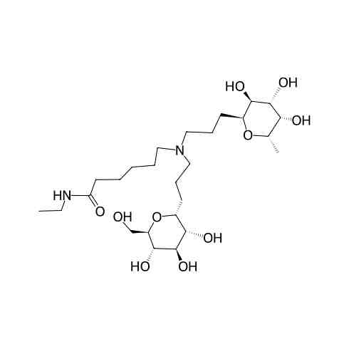 CCNC(=O)CCCCCN(CCC[C@@H]1O[C@@H](C)[C@@H](O)[C@@H](O)[C@@H]1O)CCC[C@H]1O[C@H](CO)[C@@H](O)[C@H](O)[C@H]1O